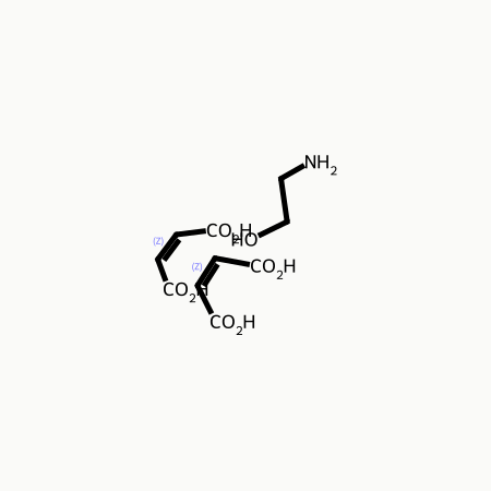 NCCO.O=C(O)/C=C\C(=O)O.O=C(O)/C=C\C(=O)O